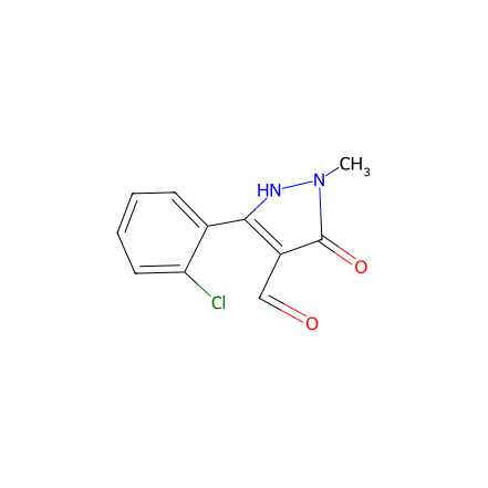 Cn1[nH]c(-c2ccccc2Cl)c(C=O)c1=O